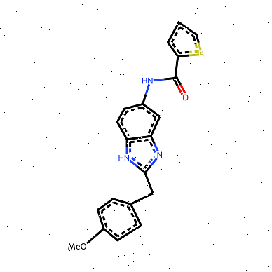 COc1ccc(Cc2nc3cc(NC(=O)c4cccs4)ccc3[nH]2)cc1